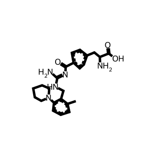 Cc1cccc(N2CCCCC2)c1CNC(N)=NC(=O)c1ccc(CC(N)C(=O)O)cc1